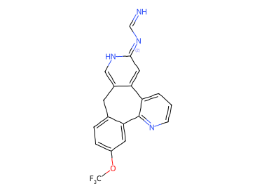 N=C/N=c1/cc2c(c[nH]1)Cc1ccc(OC(F)(F)F)cc1-c1ncccc1-2